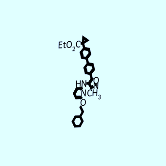 CCOC(=O)C1(c2ccc(-c3ccc(-c4onc(C)c4Nc4cccc(OCCC5CCCCC5)n4)cc3)cc2)CC1